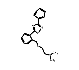 CN(C)CCOCc1ccccc1-c1nc(-c2ccccc2)no1